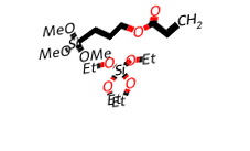 C=CC(=O)OCCC[Si](OC)(OC)OC.CCO[Si](OCC)(OCC)OCC